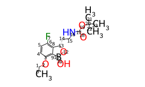 CCOc1ccc(F)c2c1B(O)O[C@H]2CCNC(=O)OC(C)(C)C